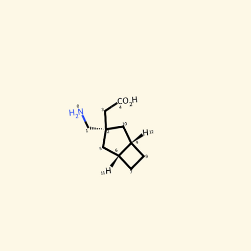 NC[C@@]1(CC(=O)O)C[C@H]2CC[C@H]2C1